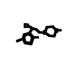 CCC(CCN1CCN(C)CC1)c1cc(C)ccc1C